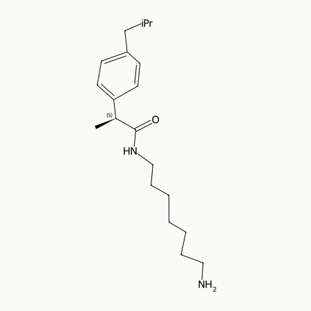 CC(C)Cc1ccc([C@H](C)C(=O)NCCCCCCCN)cc1